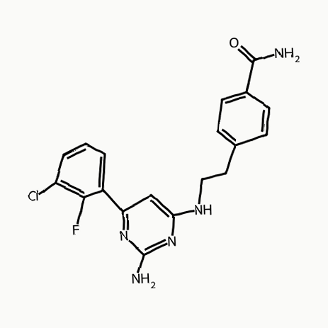 NC(=O)c1ccc(CCNc2cc(-c3cccc(Cl)c3F)nc(N)n2)cc1